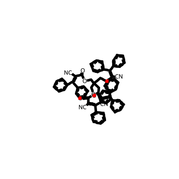 N#CC(C(=O)CC(COC(=O)C(C#N)=C(c1ccccc1)c1ccccc1)(COC(=O)C(C#N)=C(c1ccccc1)c1ccccc1)CC(=O)C(C#N)=C(c1ccccc1)c1ccccc1)=C(c1ccccc1)c1ccccc1